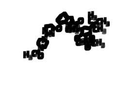 COc1c(NC(=O)c2cc3cccc(Oc4ccnc(N5CCN(C(C)=O)CC5)n4)c3n2C)cc(C(C)(C)C)cc1NS(C)(=O)=O